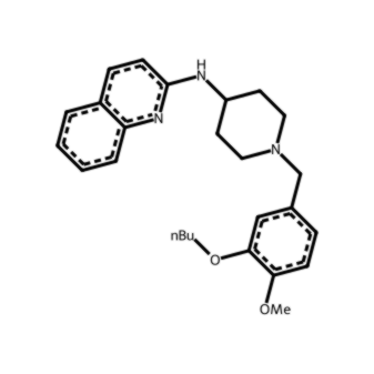 CCCCOc1cc(CN2CCC(Nc3ccc4ccccc4n3)CC2)ccc1OC